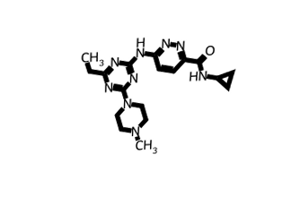 CCc1nc(Nc2ccc(C(=O)NC3CC3)nn2)nc(N2CCN(C)CC2)n1